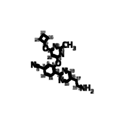 Cc1nc(Oc2cc(C#N)ccc2-c2ncc(CCN)cn2)cc(OC2CCC2)n1